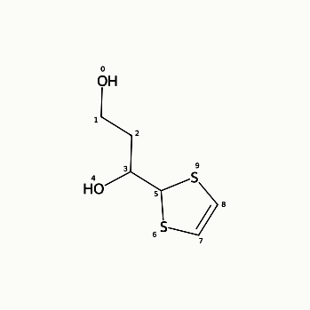 OCCC(O)C1SC=CS1